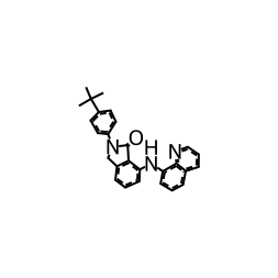 CC(C)(C)c1ccc(N2Cc3cccc(Nc4cccc5cccnc45)c3C2=O)cc1